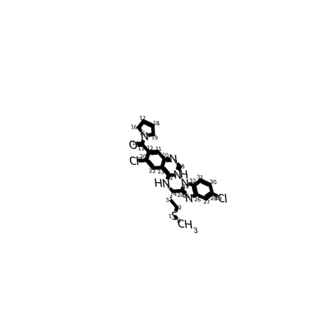 CSCC[C@H](Nc1ncnc2cc(C(=O)N3CC=CC3)c(Cl)cc12)c1nc2cc(Cl)ccc2[nH]1